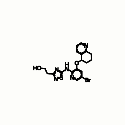 OCCc1nsc(Nc2ncc(Br)cc2OC2CCCc3ncccc32)n1